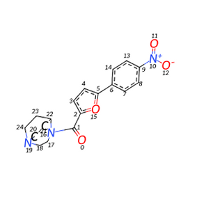 O=C(c1ccc(-c2ccc([N+](=O)[O-])cc2)o1)N1CCN2CCC1CC2